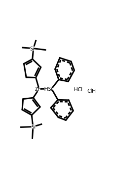 C[Si](C)(C)C1=CC[C]([Zr]([C]2=CC([Si](C)(C)C)=CC2)[SiH](c2ccccc2)c2ccccc2)=C1.Cl.Cl